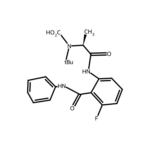 C[C@@H](C(=O)Nc1cccc(F)c1C(=O)Nc1ccccc1)N(C(=O)O)C(C)(C)C